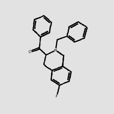 O=C(c1ccccc1)C1Cc2cc(F)ccc2CN1Cc1ccccc1